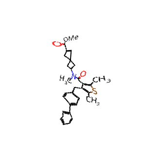 COC(=O)C1CC2(C1)CC(N(C)C(=O)c1c(C)sc(C)c1Cc1ccc(-c3ccccc3)cc1)C2